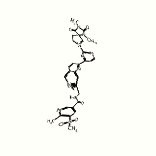 Cc1ncc(C(=O)NCc2cc3nc(-c4ccnc(N5CC[C@@]6(C5)C(=O)N(C)C(=O)N6C)n4)ccc3cn2)cc1S(C)(=O)=O